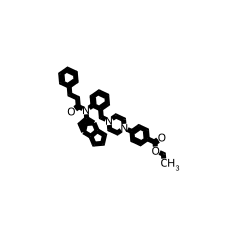 CCOC(=O)c1ccc(N2CCN(Cc3ccccc3N(C(=O)CCc3ccccc3)C3CC4CC3C3CCCC43)CC2)cc1